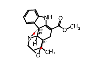 CC[C@@]12CC(C(=O)OC)=C3Nc4ccccc4[C@@]34CCN(CC3OC31)[C@@H]24